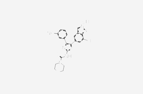 Cc1cc(-c2sc(NC(=O)N3CCOCC3)nc2-c2cccc(C#N)c2)cc2cn(C)nc12